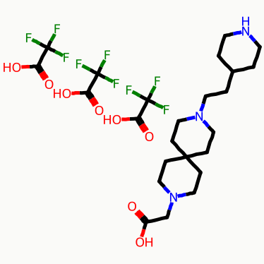 O=C(O)C(F)(F)F.O=C(O)C(F)(F)F.O=C(O)C(F)(F)F.O=C(O)CN1CCC2(CCN(CCC3CCNCC3)CC2)CC1